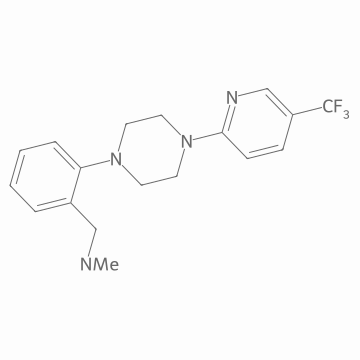 CNCc1ccccc1N1CCN(c2ccc(C(F)(F)F)cn2)CC1